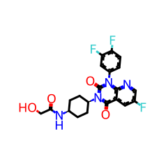 O=C(CO)N[C@H]1CC[C@@H](n2c(=O)c3cc(F)cnc3n(-c3ccc(F)c(F)c3)c2=O)CC1